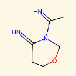 CC(=N)N1COCCC1=N